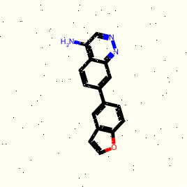 Nc1cnnc2cc(-c3c[c]c4occc4c3)ccc12